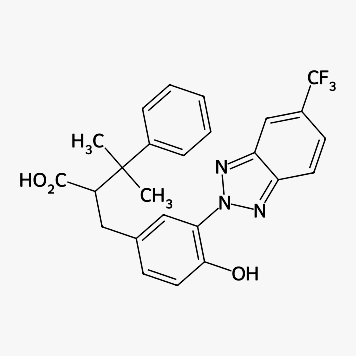 CC(C)(c1ccccc1)C(Cc1ccc(O)c(-n2nc3ccc(C(F)(F)F)cc3n2)c1)C(=O)O